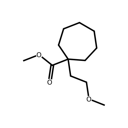 COCCC1(C(=O)OC)CCCCCC1